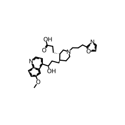 COc1ccc2nccc([C@H](O)CC[C@@H]3CCN(CCCc4ncco4)C[C@H]3CCC(=O)O)c2c1